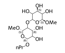 CCCO[C@@H]1O[C@H](OC)C(OC2O[C@H](OC)C(O)[C@H](O)C2O)[C@H](O)C1O